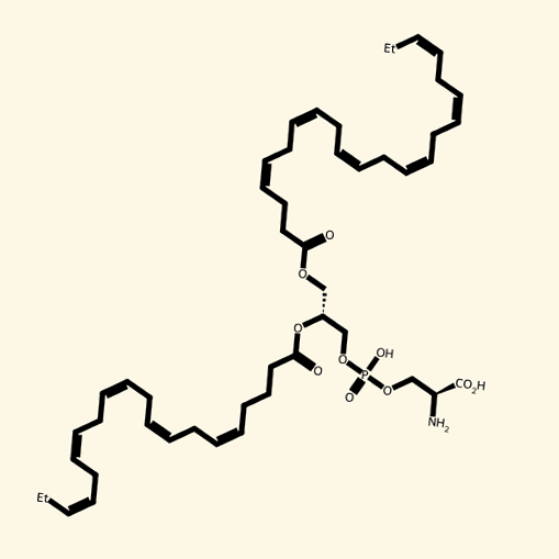 CC/C=C\C/C=C\C/C=C\C/C=C\C/C=C\C/C=C\CCC(=O)OC[C@H](COP(=O)(O)OC[C@H](N)C(=O)O)OC(=O)CCC/C=C\C/C=C\C/C=C\C/C=C\C/C=C\CC